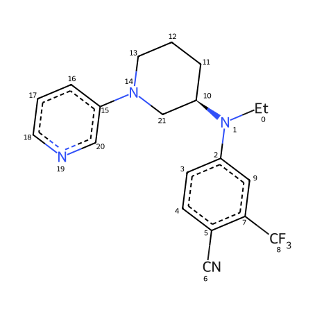 CCN(c1ccc(C#N)c(C(F)(F)F)c1)[C@@H]1CCCN(c2cccnc2)C1